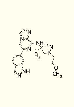 COCCN1CC(C)(Nc2nc(-c3ccc4cn[nH]c4c3)cn3ccnc23)C=N1